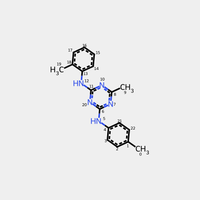 Cc1ccc(Nc2nc(C)nc(Nc3ccccc3C)n2)cc1